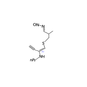 C#C/C(=C\SCC(C)C=NN=O)NCCC